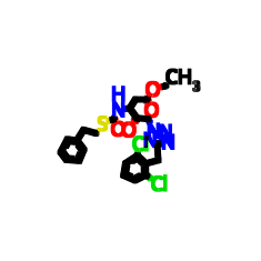 CCOC(=O)CC(NC(=O)SCCc1ccccc1)C(=O)Cn1nnc(Cc2c(Cl)cccc2Cl)n1